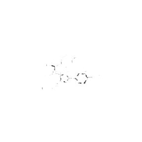 CC1CCC(C(=O)N(c2sc(-c3ccc(F)cc3)cc2C(=O)O)C(C)C)CC1